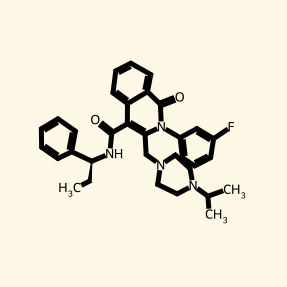 CC[C@H](NC(=O)c1c(CN2CCN(C(C)C)CC2)n(-c2cccc(F)c2)c(=O)c2ccccc12)c1ccccc1